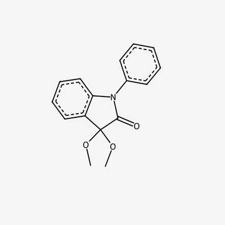 COC1(OC)C(=O)N(c2ccccc2)c2ccccc21